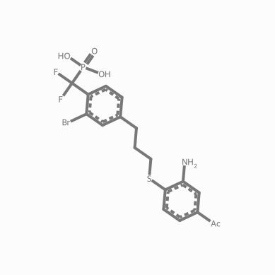 CC(=O)c1ccc(SCCCc2ccc(C(F)(F)P(=O)(O)O)c(Br)c2)c(N)c1